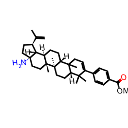 C=C(C)[C@@H]1CC[C@]2(N)CC[C@]3(C)[C@H](CC[C@@H]4C5(C)CC=C(c6ccc(C(=O)OC)cc6)C(C)(C)[C@@H]5CC[C@]43C)[C@@H]12